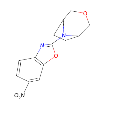 O=[N+]([O-])c1ccc2nc(N3C4CCC3COC4)oc2c1